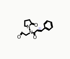 O=[C]CN(C(=O)/C=C/c1ccccc1)N1CCCC1=O